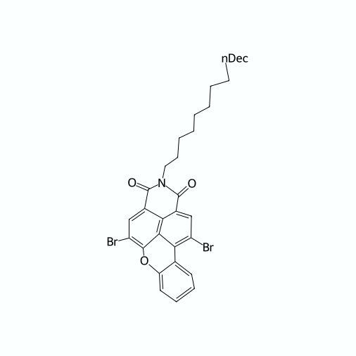 CCCCCCCCCCCCCCCCCCn1c(=O)c2cc(Br)c3oc4ccccc4c4c(Br)cc(c1=O)c2c34